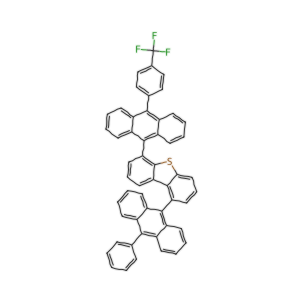 FC(F)(F)c1ccc(-c2c3ccccc3c(-c3cccc4c3sc3cccc(-c5c6ccccc6c(-c6ccccc6)c6ccccc56)c34)c3ccccc23)cc1